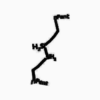 CCCCCC[SiH2][SiH2]CCCCCC